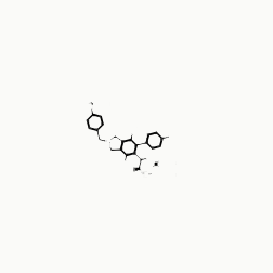 COc1ccc(CN2Cc3c(C)c(-c4ccc(C)cc4)c(C(OC(C)(C)C)C(=O)O)c(C)c3C2)cc1